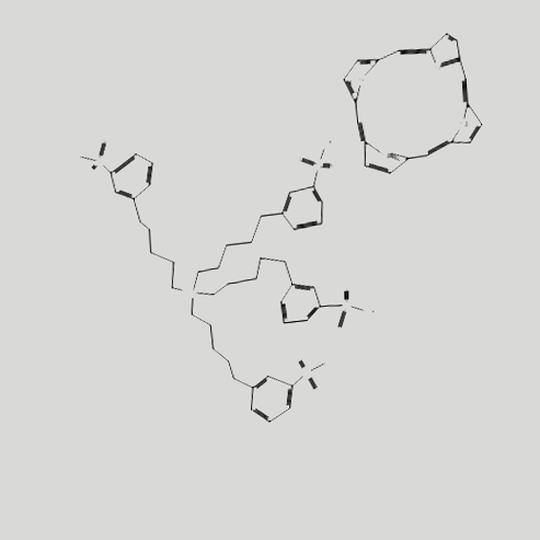 C1=Cc2cc3ccc(cc4nc(cc5ccc(cc1n2)[nH]5)C=C4)[nH]3.O=S(=O)(O)c1cccc(CCCC[CH2][Zn]([CH2]CCCCc2cccc(S(=O)(=O)O)c2)([CH2]CCCCc2cccc(S(=O)(=O)O)c2)[CH2]CCCCc2cccc(S(=O)(=O)O)c2)c1